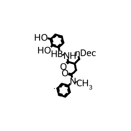 CCCCCCCCCCCC(CC(=O)N(C)c1c[c]ccc1)C(=O)NBc1cccc(O)c1O